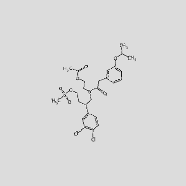 CC(=O)OCCN(CC(CCOS(C)(=O)=O)c1ccc(Cl)c(Cl)c1)C(=O)Cc1cccc(OC(C)C)c1